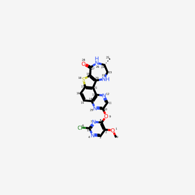 COc1cnc(Cl)nc1Oc1cnc2c(ccc3sc4c(c32)NC[C@@H](C)NC4=O)n1